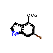 COc1cc(Br)cc2[nH]ccc12